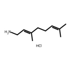 CC(C)=CCC/C(C)=C/CN.Cl